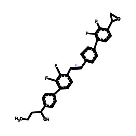 CCCC(O)c1ccc(-c2ccc(/C=C/c3ccc(-c4ccc(C5CO5)c(F)c4F)cc3)c(F)c2F)cc1